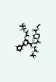 CCOC(=O)N1CCN(C(=O)[C@H](CCC(=O)OC(C)(C)C)NC(=O)c2cc(SC(C)C(C)O[Si](C)(C)C(C)(C)C)nc(-c3ccccc3)n2)CC1